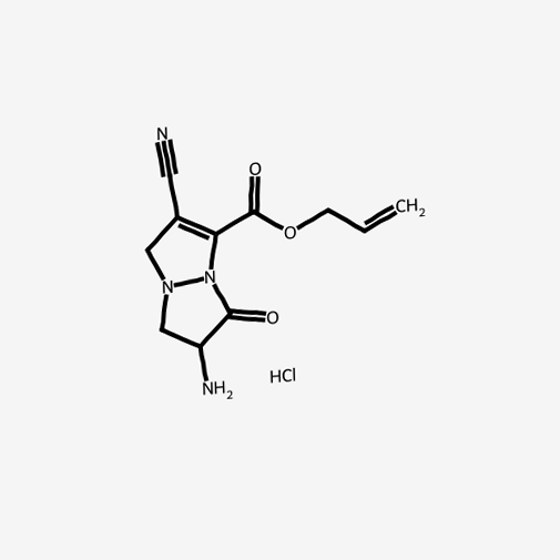 C=CCOC(=O)C1=C(C#N)CN2CC(N)C(=O)N12.Cl